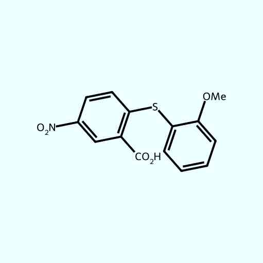 COc1ccccc1Sc1ccc([N+](=O)[O-])cc1C(=O)O